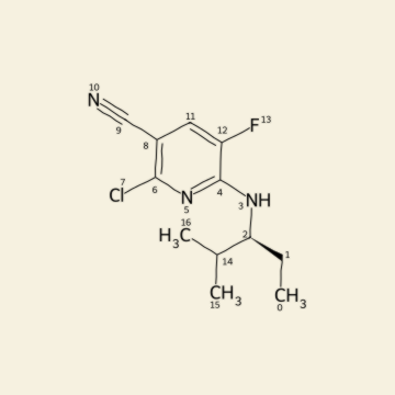 CC[C@H](Nc1nc(Cl)c(C#N)cc1F)C(C)C